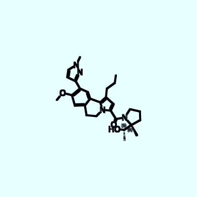 CCCc1cc(C(=O)N2CCC[C@]2(C)[C@H](C)O)n2c1-c1cc(-c3ccn(C)n3)c(OC)cc1CC2